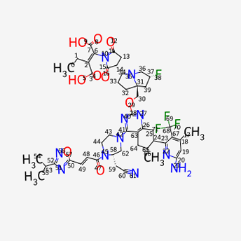 CC/C(C(=O)O)=C(\C(=O)O)N1C(=O)CCC1=O.Cc1cc(N)nc(C2Cc3nc(OC[C@@]45CCCN4C[C@H](F)C5)nc(N4CCN(C(=O)/C=C/c5nc(C(C)C)no5)[C@@H](CC#N)C4)c3CC2C)c1C(F)(F)F